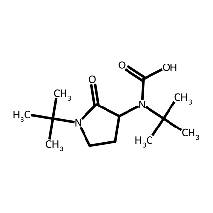 CC(C)(C)N1CCC(N(C(=O)O)C(C)(C)C)C1=O